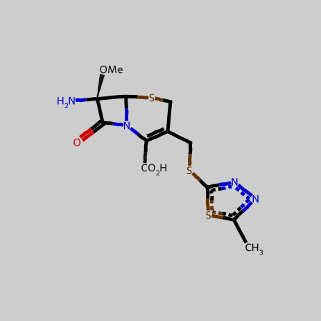 CO[C@]1(N)C(=O)N2C(C(=O)O)=C(CSc3nnc(C)s3)CSC21